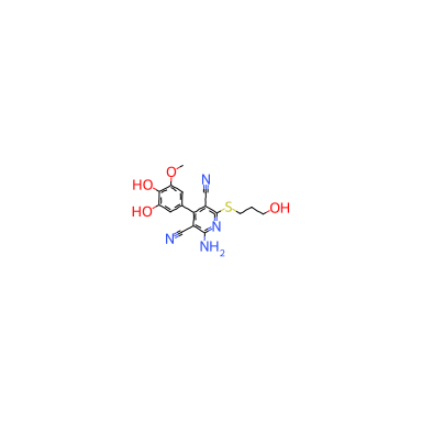 COc1cc(-c2c(C#N)c(N)nc(SCCCO)c2C#N)cc(O)c1O